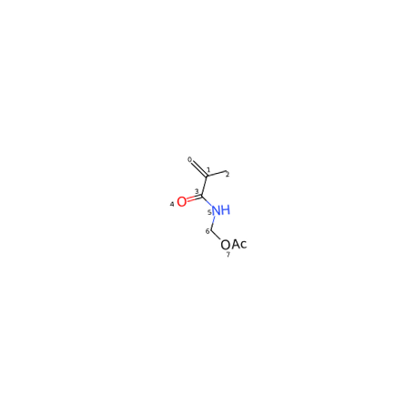 C=C(C)C(=O)NCOC(C)=O